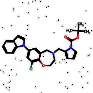 CC(C)(C)OC(=O)n1cccc1CN1CCOc2c(Cl)cc(-n3ccc4ccccc43)cc2C1